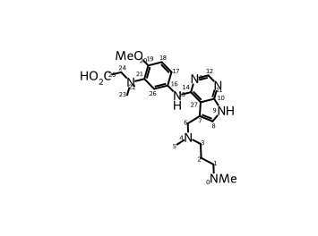 CNCCCN(C)Cc1c[nH]c2ncnc(Nc3ccc(OC)c(N(C)CC(=O)O)c3)c12